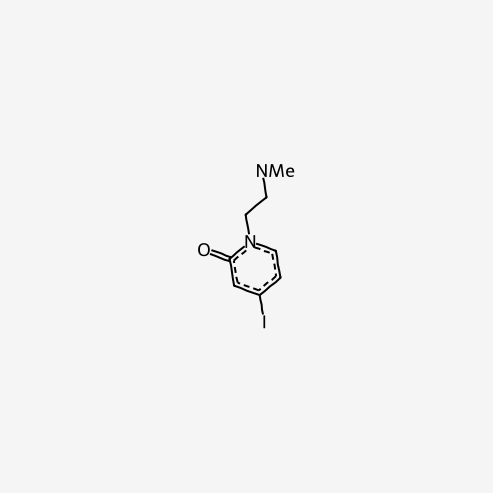 CNCCn1ccc(I)cc1=O